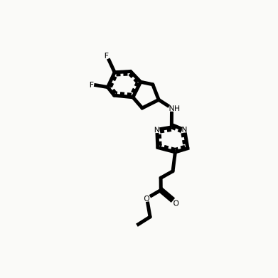 CCOC(=O)CCc1cnc(NC2Cc3cc(F)c(F)cc3C2)nc1